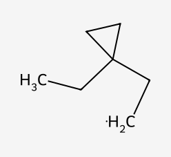 [CH2]CC1(CC)CC1